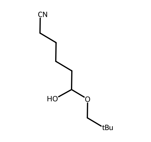 CC(C)(C)COC(O)CCCCC#N